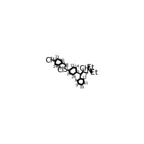 CCN(CC)CC(C)=C(c1ccccc1)c1ccc(SCc2ccc(Cl)cc2Cl)cc1